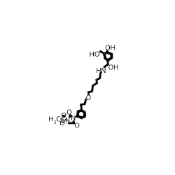 CS(=O)(=O)N1CC(=O)N(c2cccc(CCCOCCCCCCCNC[C@@H](O)c3ccc(O)c(CO)c3)c2)C1=O